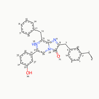 CCc1cccc(Cc2nc3c(Cc4ccccc4)[nH]c(-c4cccc(O)c4)cn-3c2=O)c1